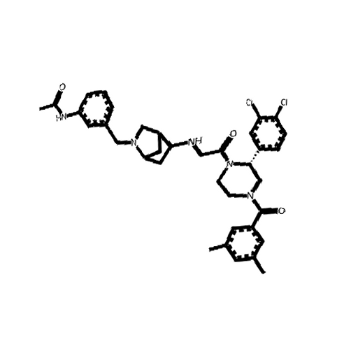 CC(=O)Nc1cccc(CN2CC3CC2CC3NCC(=O)N2CCN(C(=O)c3cc(C)cc(C)c3)C[C@H]2c2ccc(Cl)c(Cl)c2)c1